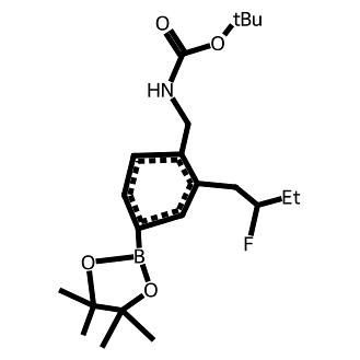 CCC(F)Cc1cc(B2OC(C)(C)C(C)(C)O2)ccc1CNC(=O)OC(C)(C)C